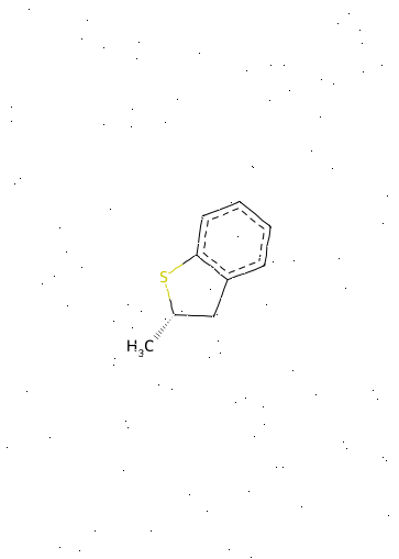 C[C@H]1Cc2ccccc2S1